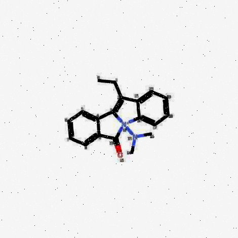 CCC1=C2c3ccccc3C(=O)[N+]2(N(C)C)c2ccccc21